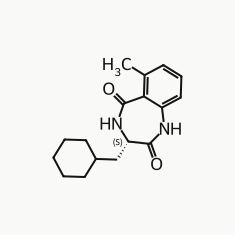 Cc1cccc2c1C(=O)N[C@@H](CC1CCCCC1)C(=O)N2